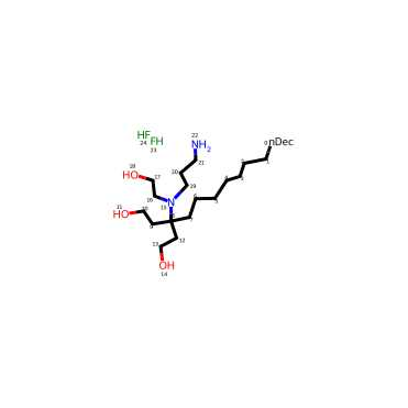 CCCCCCCCCCCCCCCCCC(CCO)(CCO)N(CCO)CCCN.F.F